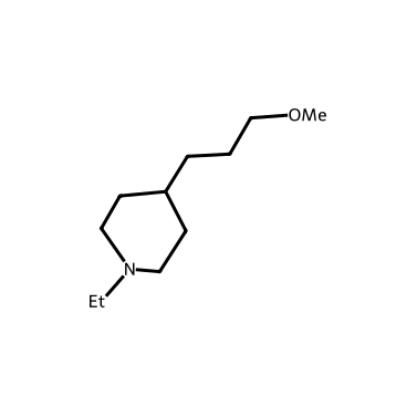 CCN1CCC(CCCOC)CC1